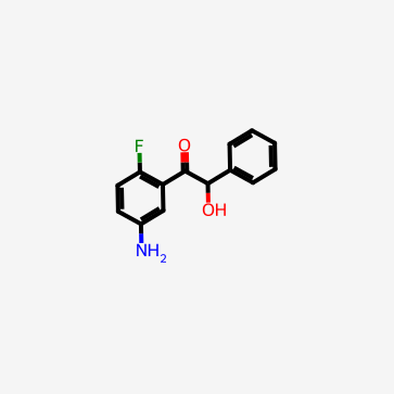 Nc1ccc(F)c(C(=O)C(O)c2ccccc2)c1